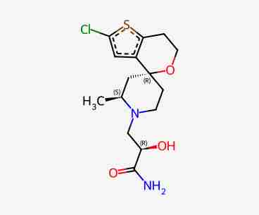 C[C@H]1C[C@@]2(CCN1C[C@@H](O)C(N)=O)OCCc1sc(Cl)cc12